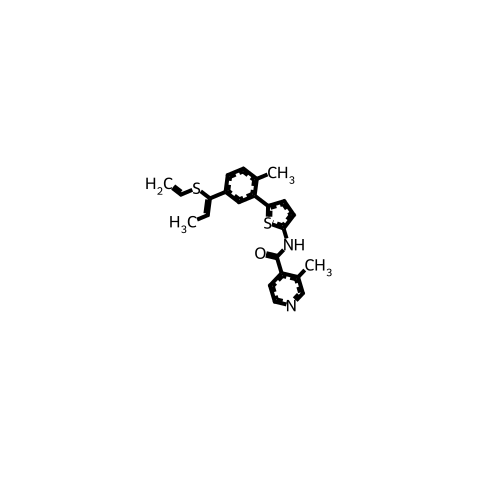 C=CS/C(=C\C)c1ccc(C)c(-c2ccc(NC(=O)c3ccncc3C)s2)c1